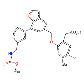 CCOC(=O)Cc1cc(Cl)c(C(C)(C)C)cc1OCc1cc(-c2cccc(CNC(=O)OC(C)(C)C)c2)c2occc2c1